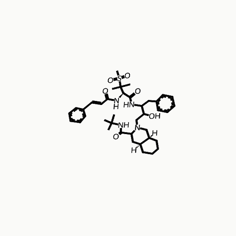 CC(C)(C)NC(=O)C1C[C@@H]2CCCC[C@@H]2CN1CC(O)C(Cc1ccccc1)NC(=O)[C@@H](NC(=O)/C=C/c1ccccc1)C(C)(C)S(C)(=O)=O